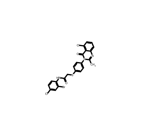 Cc1nc2cccc(Cl)c2c(=O)n1-c1ccc(SCC(=O)Nc2ccc(Cl)cc2Br)cc1